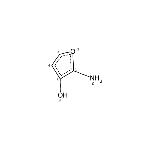 Nc1occc1O